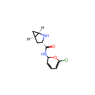 O=C(NC1C=CC=C(Cl)O1)[C@@H]1C[C@H]2C[C@H]2N1